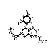 CCOC1OC1c1cc(-c2ccc(F)cc2F)c2c(n1)OC(COC)CC2